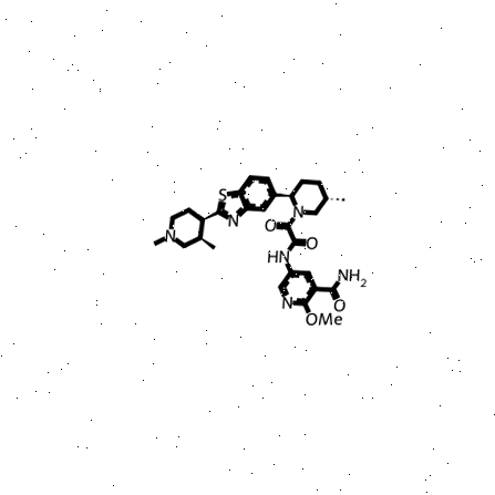 COc1ncc(NC(=O)C(=O)N2C[C@@H](C)CC[C@@H]2c2ccc3sc([C@@H]4CCN(C)C[C@@H]4C)nc3c2)cc1C(N)=O